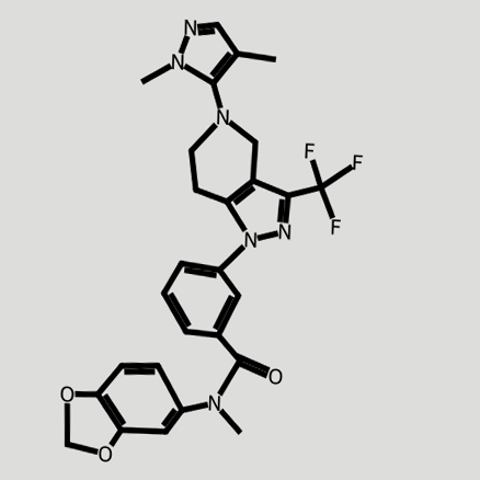 Cc1cnn(C)c1N1CCc2c(c(C(F)(F)F)nn2-c2cccc(C(=O)N(C)c3ccc4c(c3)OCO4)c2)C1